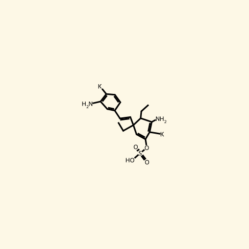 CCC1C(N)=[C]([K])C(OS(=O)(=O)O)=CC1(C=Cc1cc[c]([K])c(N)c1)CC